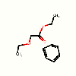 CCOCC(=O)OCC.c1ccccc1